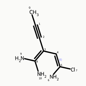 CC#CC(/C=C(\N)Cl)=C(N)N